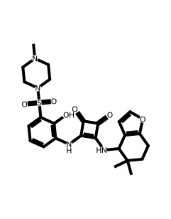 CN1CCN(S(=O)(=O)c2cccc(Nc3c(NC4c5ccoc5CCC4(C)C)c(=O)c3=O)c2O)CC1